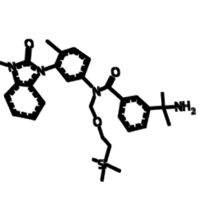 Cc1ccc(N(COCC[Si](C)(C)C)C(=O)c2cccc(C(C)(C)N)c2)cc1-n1c(=O)n(C)c2ccccc21